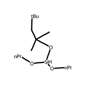 CCCO[SiH](OCCC)OC(C)(C)CC(C)(C)C